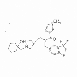 Cn1cnc(C(=O)N(Cc2ccc(F)c(C(F)(F)F)c2)CC2C3CN(CC4(O)CCCCC4)CC32)c1